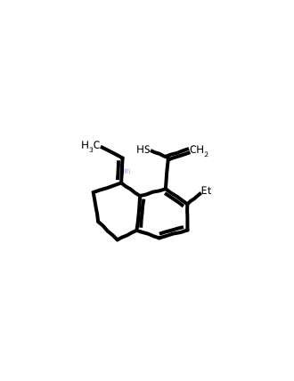 C=C(S)c1c(CC)ccc2c1/C(=C/C)CCC2